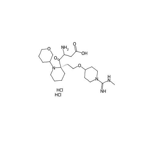 CNC(=N)N1CCC(OCC[C@]2(C(=O)C(N)CC(=O)O)CCCCN2C2CCCOC2)CC1.Cl.Cl